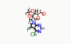 CC1(C)O[C@@H]2[C@H](O1)[C@@H](C=O)O[C@H]2n1cc(F)c2c(Cl)ncnc21